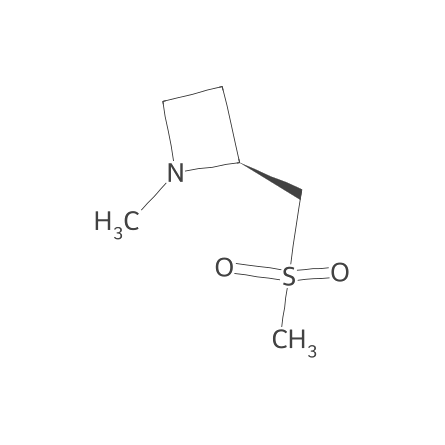 CN1CC[C@H]1CS(C)(=O)=O